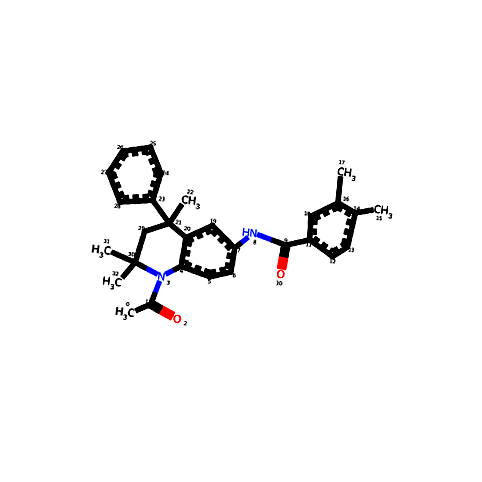 CC(=O)N1c2ccc(NC(=O)c3ccc(C)c(C)c3)cc2C(C)(c2ccccc2)CC1(C)C